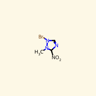 CN1C([N+](=O)[O-])N=CN1Br